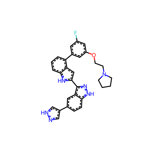 Fc1cc(OCCN2CCCC2)cc(-c2cccc3[nH]c(-c4n[nH]c5ccc(-c6cn[nH]c6)cc45)cc23)c1